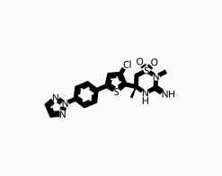 CN1C(=N)N[C@](C)(c2sc(-c3ccc(-n4nccn4)cc3)cc2Cl)CS1(=O)=O